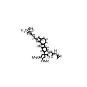 COCCC1(CCOC)C(=O)N(CC(=O)NC2CC2)c2cc3c4c([nH]c3cc21)-c1nn(COCC[Si](C)(C)C)cc1CCC4